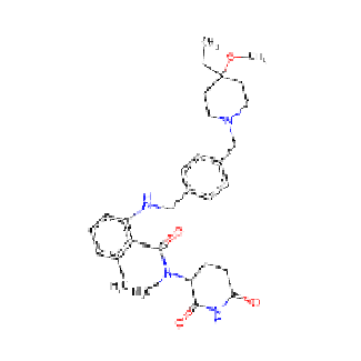 CCC1(OC)CCN(Cc2ccc(CNc3cccc(C)c3C(=O)N(C)C3CCC(=O)NC3=O)cc2)CC1